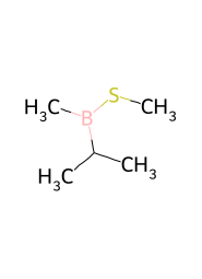 CSB(C)C(C)C